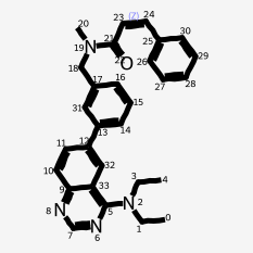 CCN(CC)c1ncnc2ccc(-c3cccc(CN(C)C(=O)/C=C\c4ccccc4)c3)cc12